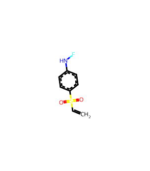 C=CS(=O)(=O)c1ccc(NF)cc1